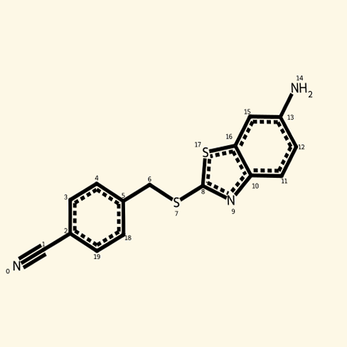 N#Cc1ccc(CSc2nc3ccc(N)cc3s2)cc1